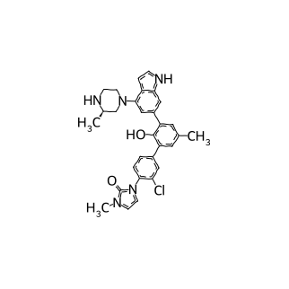 Cc1cc(-c2ccc(-n3ccn(C)c3=O)c(Cl)c2)c(O)c(-c2cc(N3CCN[C@H](C)C3)c3cc[nH]c3c2)c1